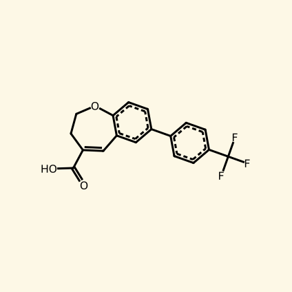 O=C(O)C1=Cc2cc(-c3ccc(C(F)(F)F)cc3)ccc2OCC1